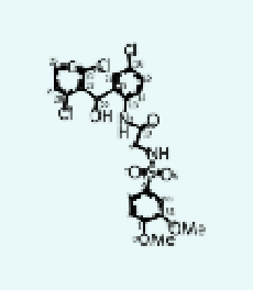 COc1ccc(S(=O)(=O)NCC(=O)Nc2ccc(Cl)cc2C(O)c2c(Cl)cccc2Cl)cc1OC